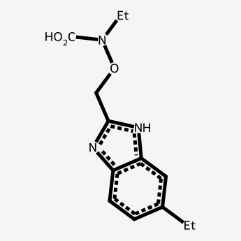 CCc1ccc2nc(CON(CC)C(=O)O)[nH]c2c1